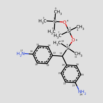 C[Si](C)(C)O[Si](C)(C)O[Si](C)(C)C(c1ccc(N)cc1)c1ccc(N)cc1